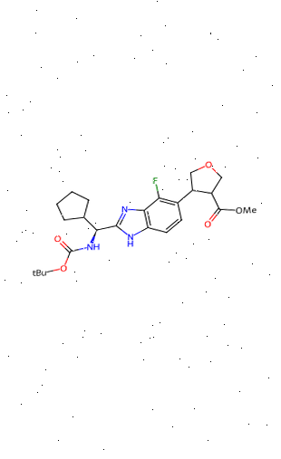 COC(=O)C1COCC1c1ccc2[nH]c([C@@H](NC(=O)OC(C)(C)C)C3CCCC3)nc2c1F